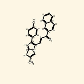 Cc1cn2c(/C=C/C(=O)c3ccc4ccccc4c3)c(-c3ccc(Cl)cc3)nc2s1